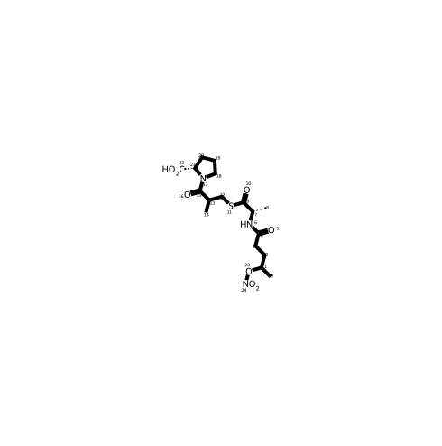 CC(CCC(=O)N[C@@H](C)C(=O)SCC(C)C(=O)N1CCC[C@H]1C(=O)O)O[N+](=O)[O-]